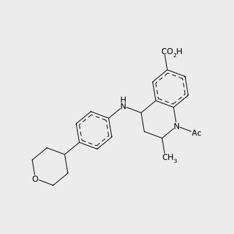 CC(=O)N1c2ccc(C(=O)O)cc2C(Nc2ccc(C3CCOCC3)cc2)CC1C